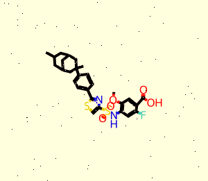 COc1cc(C(=O)O)c(F)cc1NS(=O)(=O)c1csc(-c2ccc(C3(C)CC4CC(C)CC(C4)C3)cc2)n1